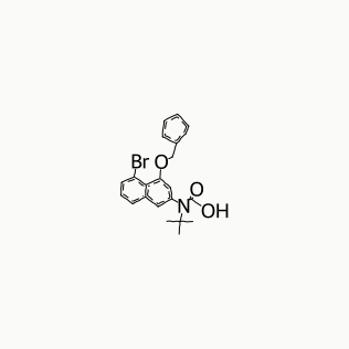 CC(C)(C)N(C(=O)O)c1cc(OCc2ccccc2)c2c(Br)cccc2c1